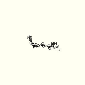 Nc1cc(N)cc(C(=O)OCCCCOC(=O)C=Cc2ccc(OC(F)(F)c3ccc(OCCOCC(F)(F)F)cc3)cc2)c1